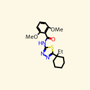 CCC1(c2nnc(NC(=O)c3c(OC)cccc3OC)s2)CCCCC1